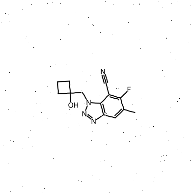 Cc1cc2nnn(CC3(O)CCC3)c2c(C#N)c1F